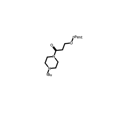 CCCCCOCCC(=O)N1CCN(C(C)(C)C)CC1